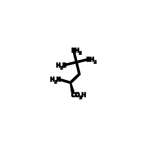 BC(B)(B)C[C@H](N)C(=O)O